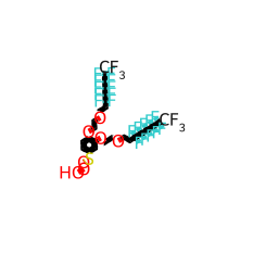 OOOSc1ccc(OCCOCCC(F)(F)C(F)(F)C(F)(F)C(F)(F)C(F)(F)C(F)(F)F)c(OCCOCCC(F)(F)C(F)(F)C(F)(F)C(F)(F)C(F)(F)C(F)(F)F)c1